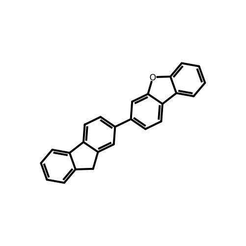 c1ccc2c(c1)Cc1cc(-c3ccc4c(c3)oc3ccccc34)ccc1-2